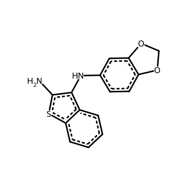 Nc1sc2ccccc2c1Nc1ccc2c(c1)OCO2